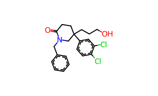 O=C1CCC(CCCO)(c2ccc(Cl)c(Cl)c2)CN1Cc1ccccc1